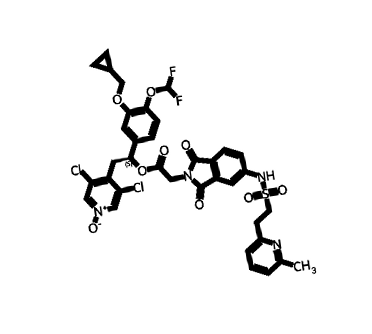 Cc1cccc(CCS(=O)(=O)Nc2ccc3c(c2)C(=O)N(CC(=O)O[C@@H](Cc2c(Cl)c[n+]([O-])cc2Cl)c2ccc(OC(F)F)c(OCC4CC4)c2)C3=O)n1